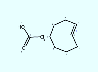 C1=C/CCCCCC/1.O=C(O)Cl